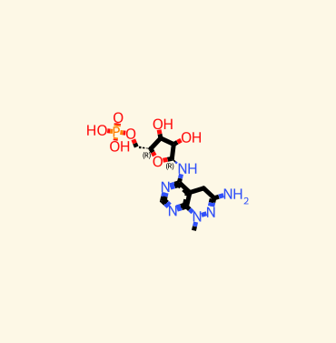 CN1N=C(N)Cc2c(N[C@@H]3O[C@H](COP(=O)(O)O)C(O)C3O)ncnc21